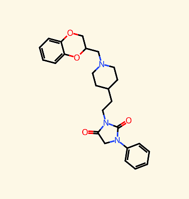 O=C1CN(c2ccccc2)C(=O)N1CCC1CCN(CC2COc3ccccc3O2)CC1